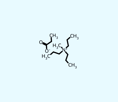 CCC(=O)[O-].CCC[N+](C)(CCC)CCC